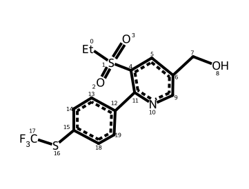 CCS(=O)(=O)c1cc(CO)cnc1-c1ccc(SC(F)(F)F)cc1